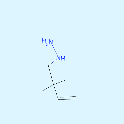 C=CC(C)(C)CNN